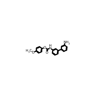 COc1ccc(OC(=O)Nc2cccc(-c3cccc(N)c3)c2)cc1